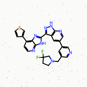 FC1(F)CCN(Cc2cncc(-c3cnc4[nH]nc(-c5nc6c(-c7ccsc7)ccnc6[nH]5)c4c3)c2)C1